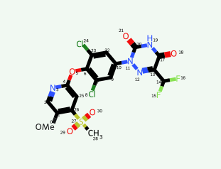 COc1cnc(Oc2c(Cl)cc(-n3nc(C(F)F)c(=O)[nH]c3=O)cc2Cl)cc1S(C)(=O)=O